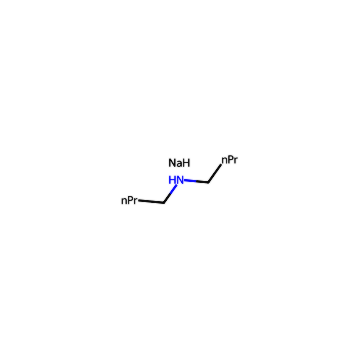 CCCCNCCCC.[NaH]